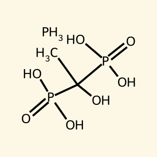 CC(O)(P(=O)(O)O)P(=O)(O)O.P